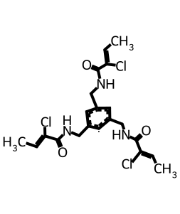 CC=C(Cl)C(=O)NCc1[c]c(CNC(=O)C(Cl)=CC)cc(CNC(=O)C(Cl)=CC)c1